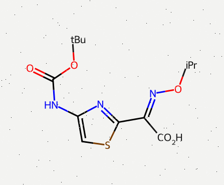 CC(C)ON=C(C(=O)O)c1nc(NC(=O)OC(C)(C)C)cs1